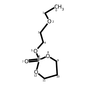 C[CH]OCCOP1(=O)OCCCO1